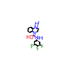 OC(Nc1cc(F)c(F)c(F)c1)N1CCNc2ccccc21